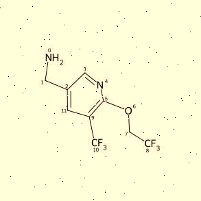 NCc1cnc(OCC(F)(F)F)c(C(F)(F)F)c1